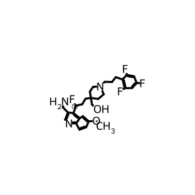 COc1ccc2ncc(CN)c([C@@H](F)CCC3(CO)CCN(CCCc4c(F)cc(F)cc4F)CC3)c2c1